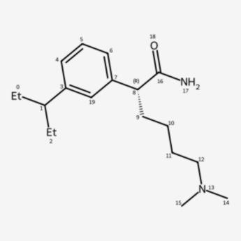 CCC(CC)c1cccc([C@@H](CCCCN(C)C)C(N)=O)c1